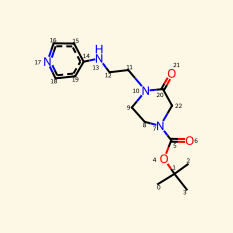 CC(C)(C)OC(=O)N1CCN(CCNc2ccncc2)C(=O)C1